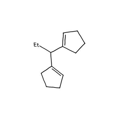 [CH2]CC(C1=CCCC1)C1=CCCC1